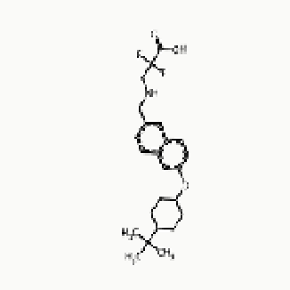 CC(C)(C)C1CCC(Oc2ccc3cc(CNCC(F)(F)C(=O)O)ccc3c2)CC1